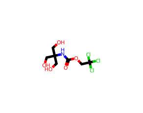 O=C(NC(CO)(CO)CO)OCC(Cl)(Cl)Cl